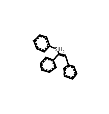 [c]1ccc([SiH2]C(=Cc2ccccc2)c2ccccc2)cc1